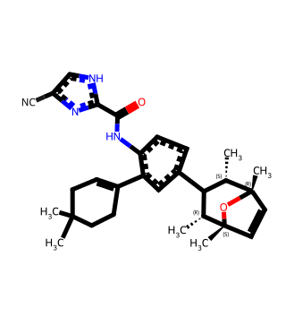 C[C@@H]1C(c2ccc(NC(=O)c3nc(C#N)c[nH]3)c(C3=CCC(C)(C)CC3)c2)[C@H](C)[C@]2(C)C=C[C@@]1(C)O2